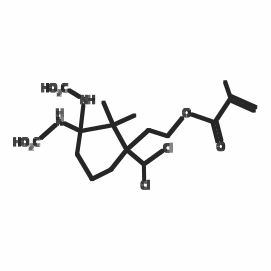 C=C(C)C(=O)OCCC1(C(Cl)Cl)CCCC(NC(=O)O)(NC(=O)O)C1(C)C